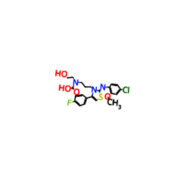 COc1cc(Cl)ccc1N=c1scc(-c2ccc(F)cc2)n1CCCN(CCO)C(=O)O